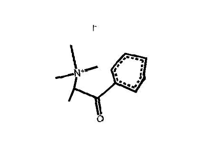 CC(C(=O)c1ccccc1)[N+](C)(C)C.[I-]